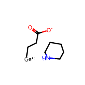 C1CCNCC1.O=C([O-])C[CH2][Ge+]